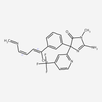 C=N/C=C\C=C(/C)c1cccc(C2(c3cc(C(F)(F)F)ccn3)N=C(N)N(C)C2=O)c1